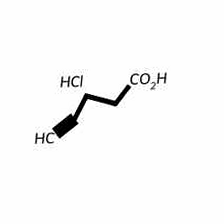 C#CCCC(=O)O.Cl